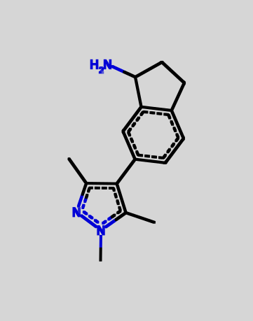 Cc1nn(C)c(C)c1-c1ccc2c(c1)C(N)CC2